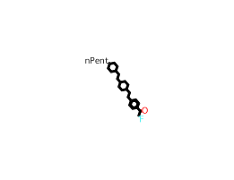 CCCCCC1CCC(CCC2CCC(CCc3ccc(C(=O)CF)cc3)CC2)CC1